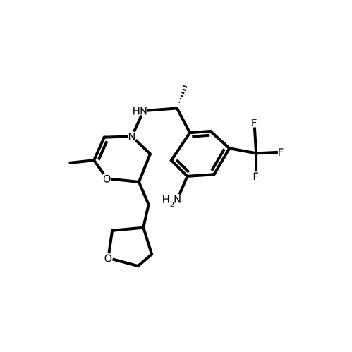 CC1=CN(N[C@H](C)c2cc(N)cc(C(F)(F)F)c2)CC(CC2CCOC2)O1